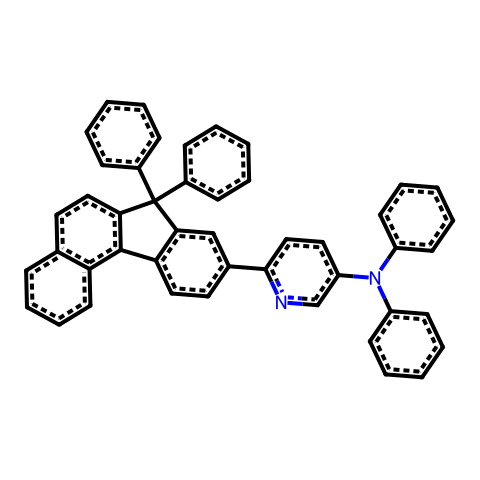 c1ccc(N(c2ccccc2)c2ccc(-c3ccc4c(c3)C(c3ccccc3)(c3ccccc3)c3ccc5ccccc5c3-4)nc2)cc1